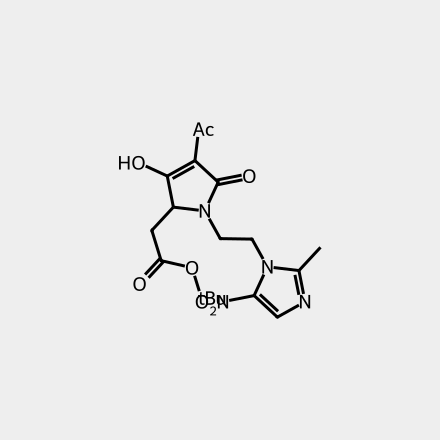 CC(=O)C1=C(O)C(CC(=O)OC(C)(C)C)N(CCn2c([N+](=O)[O-])cnc2C)C1=O